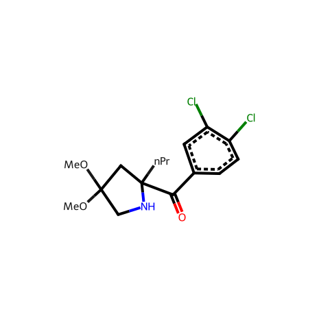 CCCC1(C(=O)c2ccc(Cl)c(Cl)c2)CC(OC)(OC)CN1